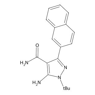 CC(C)(C)n1nc(-c2ccc3ccccc3c2)c(C(N)=O)c1N